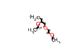 [CH2]CC(COCCOC)OCC